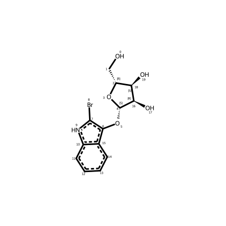 OC[C@H]1O[C@@H](Oc2c(Br)[nH]c3ccccc23)[C@H](O)[C@@H]1O